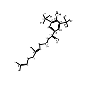 CC(C)=CCC/C(C)=C/COCC(=O)c1cc(C(C)(C)C)c(O)c(C(C)(C)C)c1